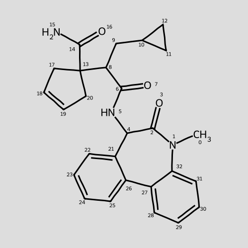 CN1C(=O)C(NC(=O)C(CC2CC2)C2(C(N)=O)CC=CC2)c2ccccc2-c2ccccc21